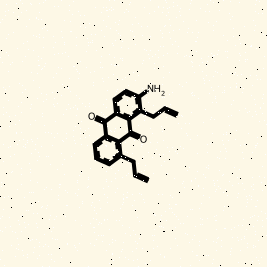 C=CCc1cccc2c1C(=O)c1c(ccc(N)c1CC=C)C2=O